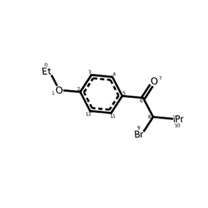 CCOc1ccc(C(=O)C(Br)C(C)C)cc1